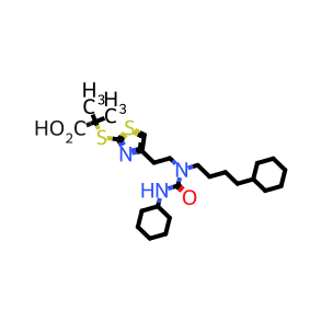 CC(C)(Sc1nc(CCN(CCCCC2CCCCC2)C(=O)NC2CCCCC2)cs1)C(=O)O